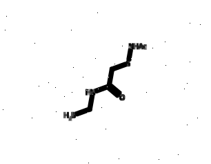 BCNC(=O)CSNC(C)=O